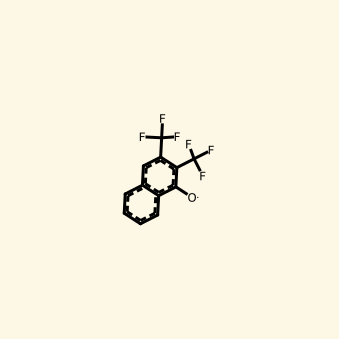 [O]c1c(C(F)(F)F)c(C(F)(F)F)cc2ccccc12